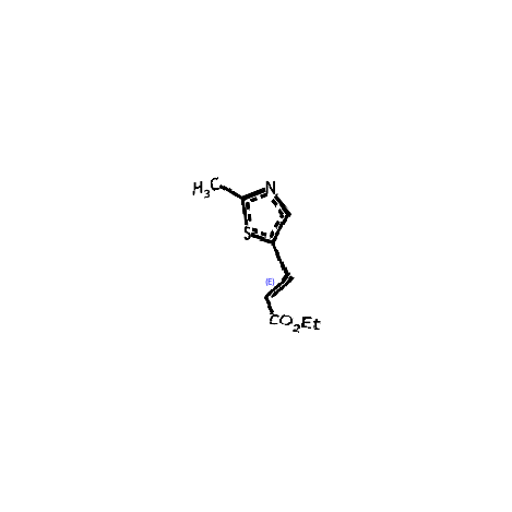 CCOC(=O)/C=C/c1cnc(C)s1